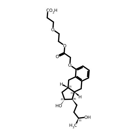 C[C@H](O)CC[C@@H]1[C@H]2Cc3cccc(OCC(=O)OCCOCCC(=O)O)c3C[C@H]2C[C@H]1O